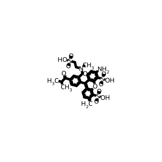 C=c1ccc2c(c1S(=O)(=O)O)Oc1c(ccc(N)c1S(=O)(=O)O)C=2c1ccc(C(=O)C(C)C)cc1C(=O)N(C)CCS(=O)(=O)O